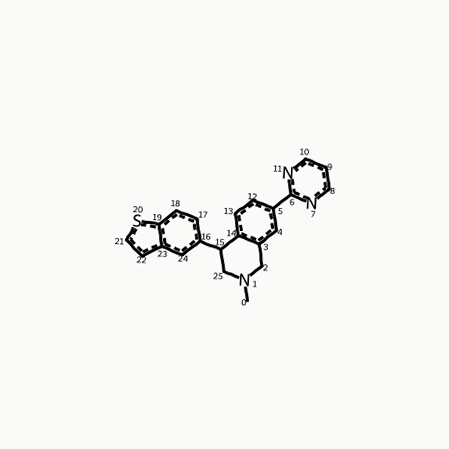 CN1Cc2cc(-c3ncccn3)ccc2C(c2ccc3sccc3c2)C1